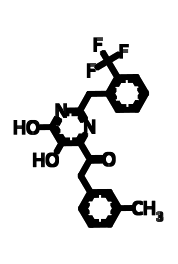 Cc1cccc(CC(=O)c2nc(Cc3ccccc3C(F)(F)F)nc(O)c2O)c1